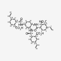 C=Cc1ccc(C(=O)Nc2ccc(NC(=O)c3cc(C=C)ccc3C(=O)O)cc2NC(=O)c2ccc(C=C)cc2C(=O)O)c(C(=O)O)c1